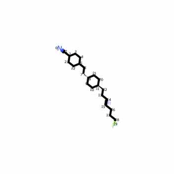 N#CC1CCC(CC[C@H]2CC[C@H](CC/C=C/CCCF)CC2)CC1